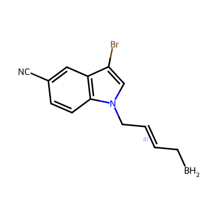 BC/C=C/Cn1cc(Br)c2cc(C#N)ccc21